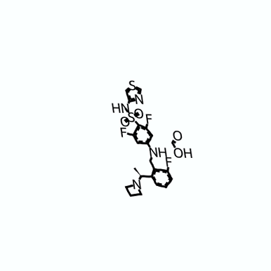 C[C@@H](c1cccc(F)c1CNc1cc(F)c(S(=O)(=O)Nc2cscn2)c(F)c1)N1CCC1.O=CO